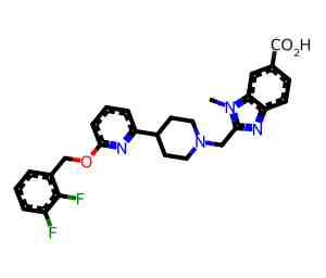 Cn1c(CN2CCC(c3cccc(OCc4cccc(F)c4F)n3)CC2)nc2ccc(C(=O)O)cc21